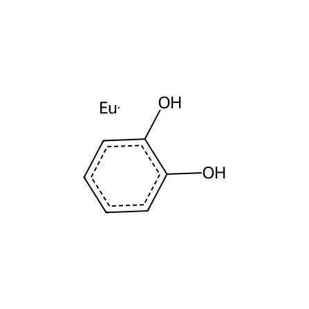 Oc1ccccc1O.[Eu]